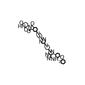 Nc1ncnc2c1c(-c1ccc(Oc3ccccc3)cc1)nn2C1CCN(c2cnc(N3CCN(c4ccc5c(c4)C(=O)N(C4CCC(=O)NC4=O)C5=O)CC3)nc2)CC1